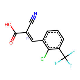 N#C/C(=C\c1cccc(C(F)(F)F)c1Cl)C(=O)O